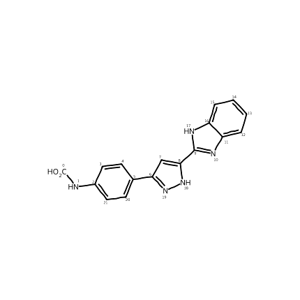 O=C(O)Nc1ccc(-c2cc(-c3nc4ccccc4[nH]3)[nH]n2)cc1